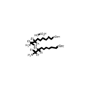 CCCCCCCCCCCCCCCCC(CC)(CC)C(N)(CC)CC.CCCCCCCCCCCCCCCCC(CC)(CC)C(N)(CC)CC.O=S(=O)(O)O